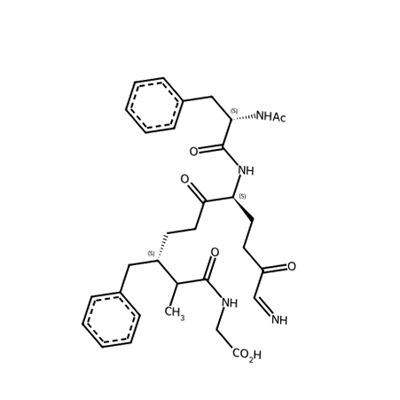 CC(=O)N[C@@H](Cc1ccccc1)C(=O)N[C@@H](CCC(=O)C=N)C(=O)CC[C@@H](Cc1ccccc1)C(C)C(=O)NCC(=O)O